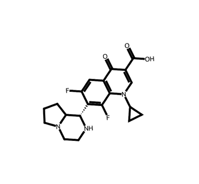 O=C(O)c1cn(C2CC2)c2c(F)c([C@@H]3NCCN4CCCC34)c(F)cc2c1=O